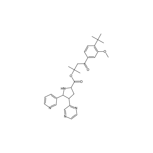 COc1cc(C(=O)CC(C)(C)OC(=O)C2CC(c3cnccn3)C(c3cccnc3)N2)ccc1C(C)(C)C